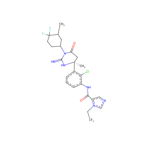 CC1CC(N2C(=N)N[C@](C)(c3cccc(NC(=O)c4cncn4CC(F)(F)F)c3Cl)CC2=O)CCC1(F)F